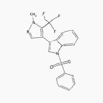 Cn1ncc(-c2cn(S(=O)(=O)c3ccccc3)c3ccccc23)c1C(F)(F)F